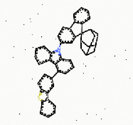 c1ccc2c(c1)-c1ccc(-n3c4ccccc4c4c(-c5ccc6sc7ccccc7c6c5)cccc43)cc1C21C2CC3CC(C2)CC1C3